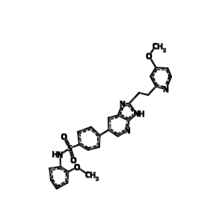 COc1ccnc(CCc2nc3cc(-c4ccc(S(=O)(=O)Nc5ccccc5OC)cc4)cnc3[nH]2)c1